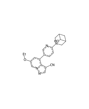 CCOc1cc(-c2ccc(N3CC4CC(C3)C4O)nc2)c2c(C#N)cnn2c1